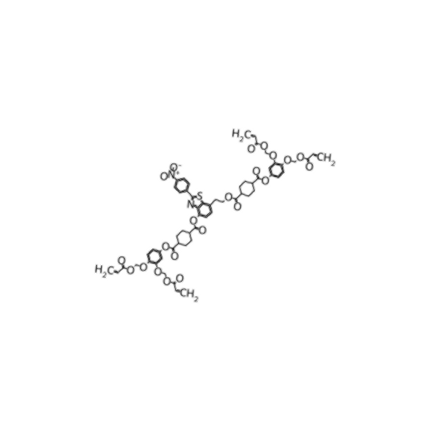 C=CC(=O)OCOc1ccc(OC(=O)C2CCC(C(=O)OCCc3ccc(OC(=O)C4CCC(C(=O)Oc5ccc(OCOC(=O)C=C)c(OCOC(=O)C=C)c5)CC4)c4nc(-c5ccc([N+](=O)[O-])cc5)sc34)CC2)cc1OCOC(=O)C=C